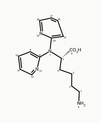 NCCCC[C@@H](C(=O)O)N(c1ccccn1)c1ccccn1